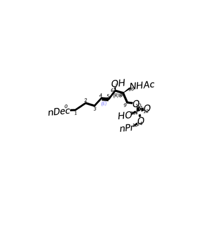 CCCCCCCCCCCCC/C=C/[C@@H](O)[C@H](COP(=O)(O)OCCC)NC(C)=O